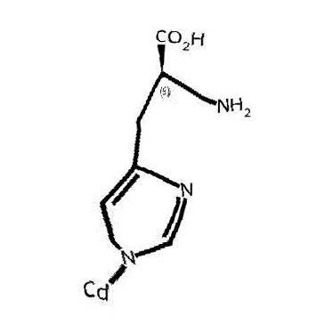 N[C@@H](Cc1c[n]([Cd])cn1)C(=O)O